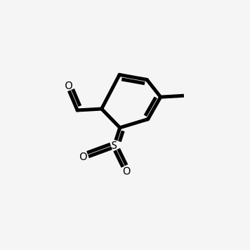 CC1=CC(=S(=O)=O)C(C=O)C=C1